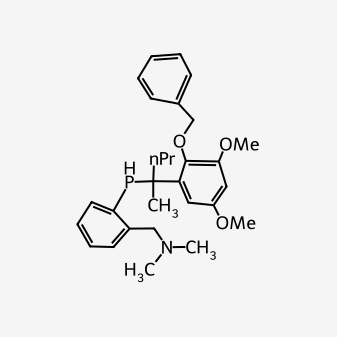 CCCC(C)(Pc1ccccc1CN(C)C)c1cc(OC)cc(OC)c1OCc1ccccc1